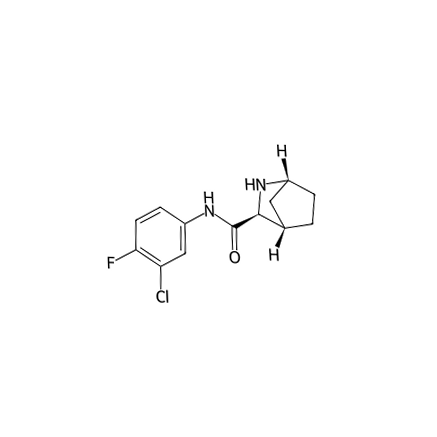 O=C(Nc1ccc(F)c(Cl)c1)[C@H]1N[C@@H]2CC[C@H]1C2